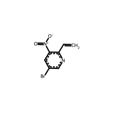 C=Cc1ncc(Br)cc1[N+](=O)[O-]